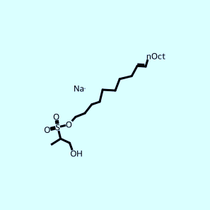 CCCCCCCCC=CCCCCCCCCOS(=O)(=O)C(C)CO.[Na]